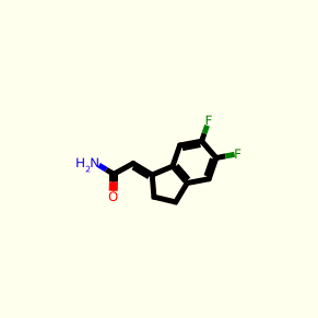 NC(=O)C=C1CCc2cc(F)c(F)cc21